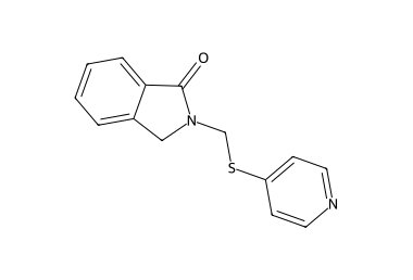 O=C1c2ccccc2CN1CSc1ccncc1